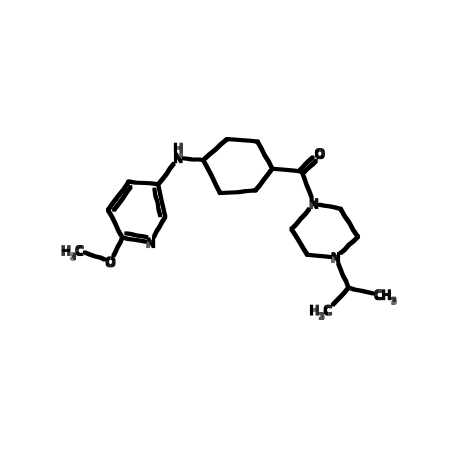 COc1ccc(NC2CCC(C(=O)N3CCN(C(C)C)CC3)CC2)cn1